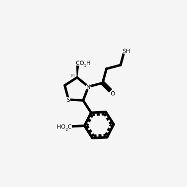 O=C(O)c1ccccc1C1SC[C@@H](C(=O)O)N1C(=O)CCS